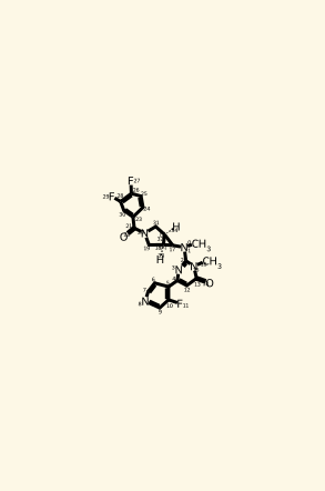 CN(c1nc(-c2ccncc2F)cc(=O)n1C)C1[C@H]2CN(C(=O)c3ccc(F)c(F)c3)C[C@@H]12